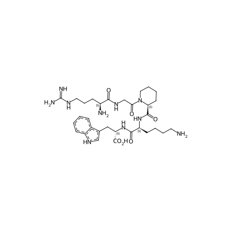 N=C(N)NCCC[C@H](N)C(=O)NCC(=O)N1CCCC[C@H]1C(=O)N[C@@H](CCCCN)C(=O)N[C@@H](Cc1c[nH]c2ccccc12)C(=O)O